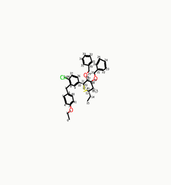 CCOc1ccc(Cc2cc([C@@H]3S[C@H](CC)[C@@H](C)[C@H](OCc4ccccc4)[C@H]3OCc3ccccc3)ccc2Cl)cc1